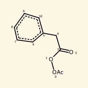 CC(=O)OOC(=O)Cc1ccccc1